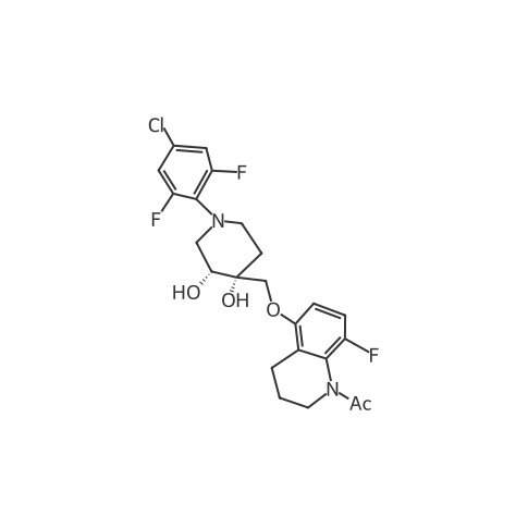 CC(=O)N1CCCc2c(OC[C@]3(O)CCN(c4c(F)cc(Cl)cc4F)C[C@H]3O)ccc(F)c21